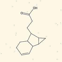 O=C(O)CCC1C2CCC=CC2C2CC21